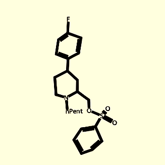 CCCCCN1CCC(c2ccc(F)cc2)CC1COS(=O)(=O)c1ccccc1